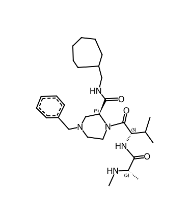 CN[C@@H](C)C(=O)N[C@H](C(=O)N1CCN(Cc2ccccc2)C[C@H]1C(=O)NCC1CCCCCC1)C(C)C